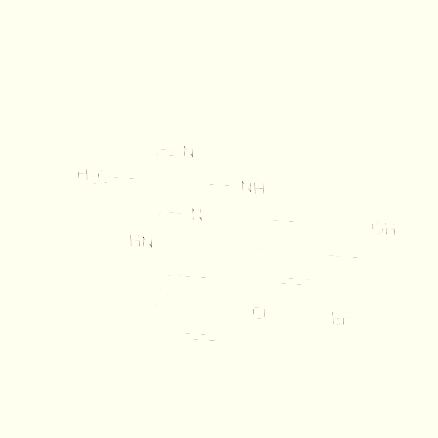 Cc1cnc(Nc2cc(Cl)c(Br)c(CO)c2)nc1Nc1ccccc1